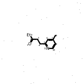 CCC(=O)CCc1cc(C)ccn1